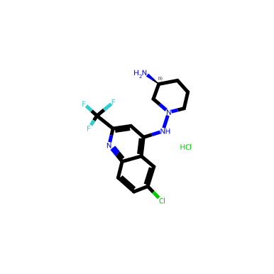 Cl.N[C@H]1CCCN(Nc2cc(C(F)(F)F)nc3ccc(Cl)cc23)C1